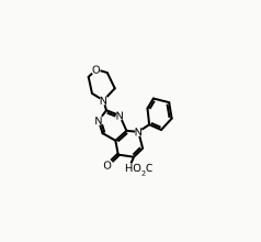 O=C(O)c1cn(-c2ccccc2)c2nc(N3CCOCC3)ncc2c1=O